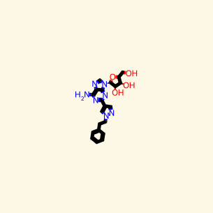 Nc1nc(-c2cnn(CCc3ccccc3)c2)nc2c1ncn2[C@@H]1OC(CO)[C@@H](O)[C@H]1O